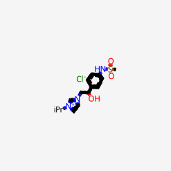 CC(C)[n+]1ccn(CC(O)c2ccc(NS(C)(=O)=O)cc2)c1.[Cl-]